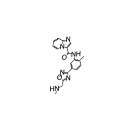 CNCc1nc(-c2ccc(C)c(NC(=O)c3cnc4ccccn34)c2)no1